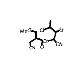 CCC(C#N)C(CC)C(C)Cl.COCC(CCl)CC#N